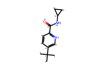 CC(C)(C)c1ccc(C(=O)NC2CC2)nc1